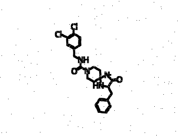 O=C1[N]C2(CCN(C(=O)NCc3ccc(Cl)c(Cl)c3)CC2)NC1Cc1ccccc1